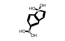 OB(O)c1ccc2c(c1)C=CS2(O)O